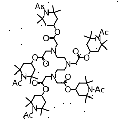 CC(=O)N1C(C)(C)CC(OC(=O)CN(CCN(CC(=O)OC2CC(C)(C)N(C(C)=O)C(C)(C)C2)CC(=O)OC2CC(C)(C)N(C(C)=O)C(C)(C)C2)CCN(CC(=O)OC2CC(C)(C)N(C(C)=O)C(C)(C)C2)CC(=O)OC2CC(C)(C)N(C(C)=O)C(C)(C)C2)CC1(C)C